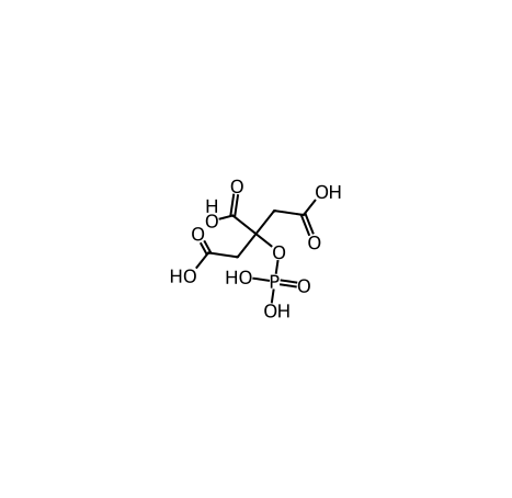 O=C(O)CC(CC(=O)O)(OP(=O)(O)O)C(=O)O